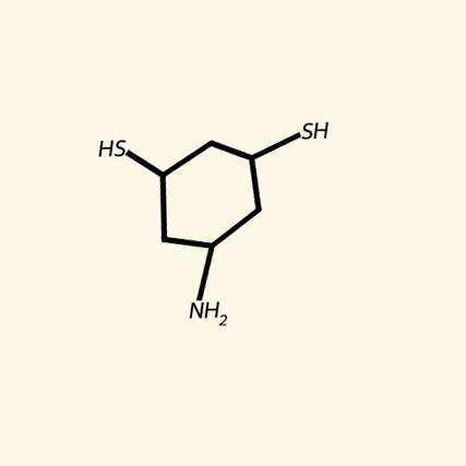 NC1CC(S)CC(S)C1